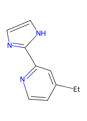 CCc1ccnc(-c2ncc[nH]2)c1